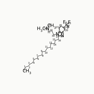 CCCCCCCCCCCCCCCCCc1nc2cc(C(F)(F)F)ccc2n1CCCN(C)C